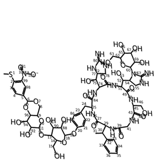 CSc1ccc(C2OCC3OC(OC4C(CO)OC(Oc5ccc(CC6NC(=O)C(C(C)c7ccccc7)NC(=O)CNC(=O)C(CO)NC(=O)C(C(O)C7CNC(=N)N7C7OC(CO)C(O)C(O)C7O)NC(=O)C(C(O)C7CNC(=N)N7)NC6=O)cc5)C(O)C4O)C(O)C(O)C3O2)cc1[N+](=O)[O-]